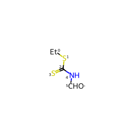 CCSC(=S)N[C]=O